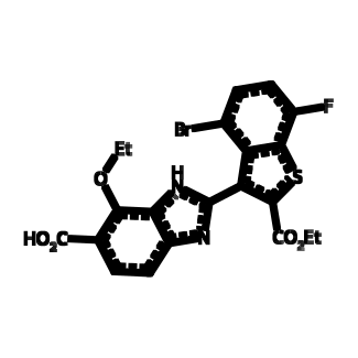 CCOC(=O)c1sc2c(F)ccc(Br)c2c1-c1nc2ccc(C(=O)O)c(OCC)c2[nH]1